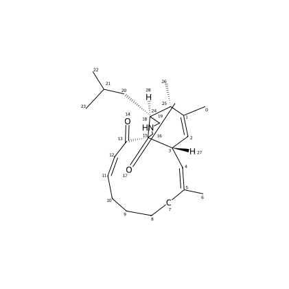 CC1=C[C@@H]2/C=C(/C)CCCC/C=C\C(=O)[C@]23C(=O)N[C@@H](CC(C)C)[C@@H]3[C@@H]1C